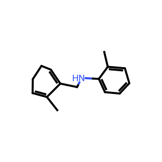 CC1=CCCC=C1CNc1ccccc1C